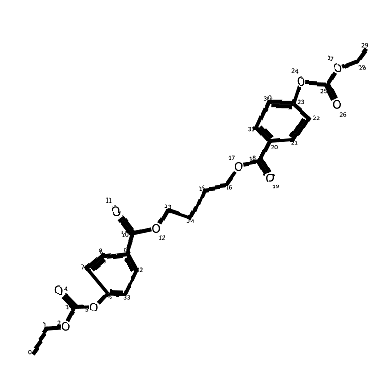 CCOC(=O)Oc1ccc(C(=O)OCCCCOC(=O)c2ccc(OC(=O)OCC)cc2)cc1